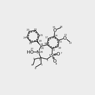 CCC1(CC)CS(=O)(=O)c2cc(OC)c(OC)cc2[C@H](c2ccccc2)N1O